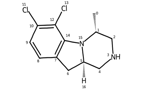 C[C@@H]1CNC[C@H]2Cc3ccc(Cl)c(Cl)c3N21